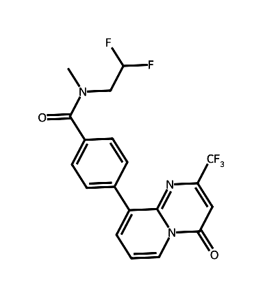 CN(CC(F)F)C(=O)c1ccc(-c2cccn3c(=O)cc(C(F)(F)F)nc23)cc1